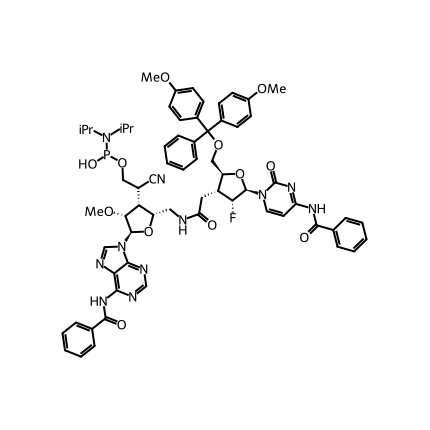 COc1ccc(C(OC[C@H]2O[C@@H](n3ccc(NC(=O)c4ccccc4)nc3=O)[C@H](F)[C@@H]2CC(=O)NC[C@@H]2O[C@@H](n3cnc4c(NC(=O)c5ccccc5)ncnc43)[C@H](OC)[C@@H]2C(C#N)COP(O)N(C(C)C)C(C)C)(c2ccccc2)c2ccc(OC)cc2)cc1